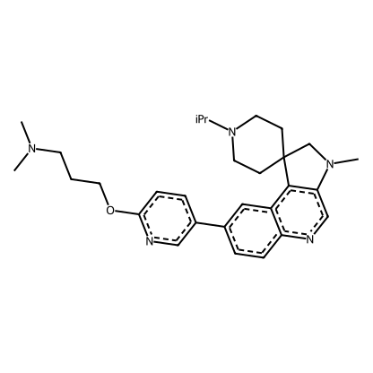 CC(C)N1CCC2(CC1)CN(C)c1cnc3ccc(-c4ccc(OCCCN(C)C)nc4)cc3c12